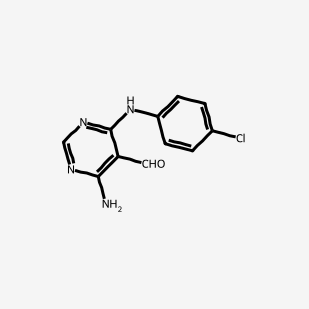 Nc1ncnc(Nc2ccc(Cl)cc2)c1C=O